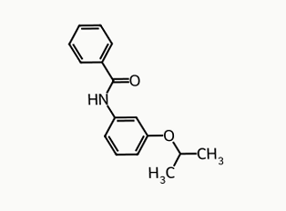 CC(C)Oc1cccc(NC(=O)c2ccccc2)c1